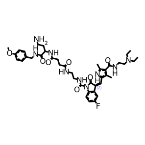 CCN(CC)CCNC(=O)c1c(C)[nH]c(/C=C2\C(=O)N(C(=O)NCCNC(=O)CCC(=O)NC(CCN)C(=O)NCc3ccc(OC)cc3)c3ccc(F)cc32)c1C